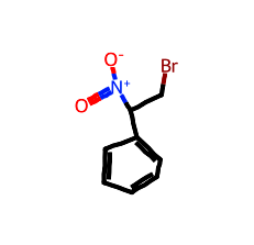 O=[N+]([O-])C(CBr)c1ccccc1